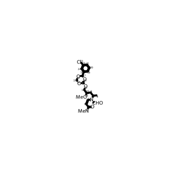 CNC(=O)/C=C\N(C=O)C(C)CC(COP1OCOC(c2cccc(Cl)c2)O1)OC